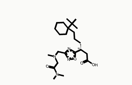 CN(CC(=O)N(C)C)Cc1noc([C@H](CCCC2(C(C)(C)C)CCCCC2)CC(=O)O)n1